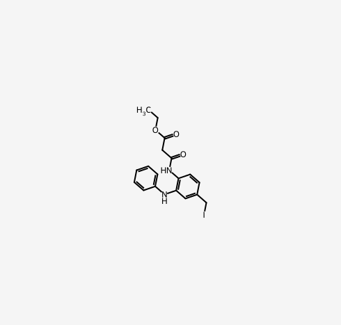 CCOC(=O)CC(=O)Nc1ccc(CI)cc1Nc1ccccc1